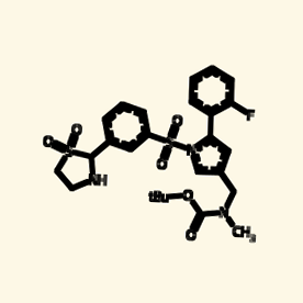 CN(Cc1cc(-c2ccccc2F)n(S(=O)(=O)c2cccc(C3NCCS3(=O)=O)c2)c1)C(=O)OC(C)(C)C